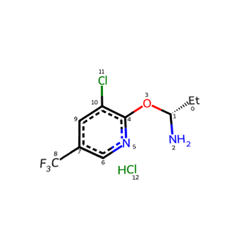 CC[C@H](N)Oc1ncc(C(F)(F)F)cc1Cl.Cl